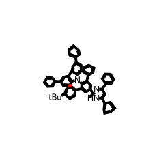 CC(C)(C)c1ccc(-c2cc(C3(C)N=C(c4ccccc4)C=C(c4ccccc4)N3)cc(-c3ccccc3)c2-n2c3ccc(-c4ccccc4)cc3c3cc(-c4ccccc4)ccc32)cc1